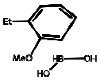 CCc1ccccc1OC.OBO